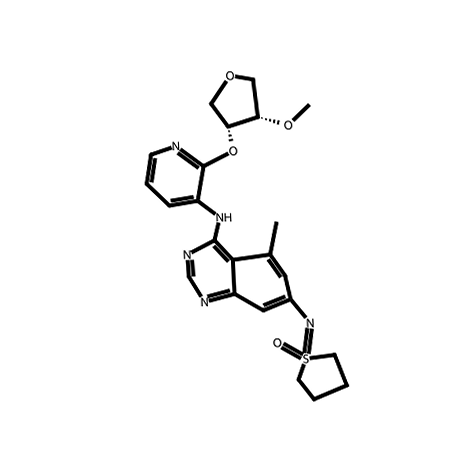 CO[C@H]1COC[C@H]1Oc1ncccc1Nc1ncnc2cc(N=S3(=O)CCCC3)cc(C)c12